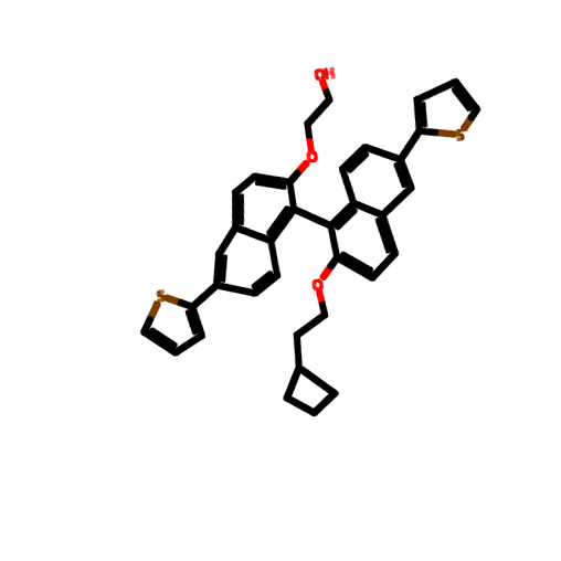 OCCOc1ccc2cc(-c3cccs3)ccc2c1-c1c(OCCC2CCC2)ccc2cc(-c3cccs3)ccc12